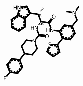 C[C@@H](c1c[nH]c2ccccc12)[C@@H](NC(=O)N1CCC(c2ccc(F)cc2)CC1)C(=O)Nc1cc(CN(C)C)ccc1-c1cccs1